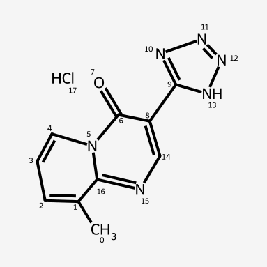 Cc1cccn2c(=O)c(-c3nnn[nH]3)cnc12.Cl